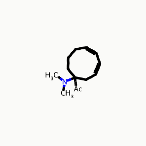 CC(=O)C1(N(C)C)C/C=C\C=C/CCC1